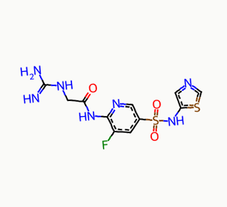 N=C(N)NCC(=O)Nc1ncc(S(=O)(=O)Nc2cncs2)cc1F